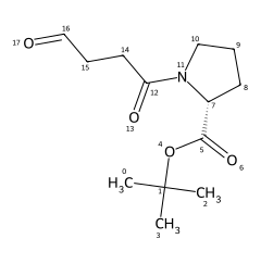 CC(C)(C)OC(=O)[C@H]1CCCN1C(=O)CCC=O